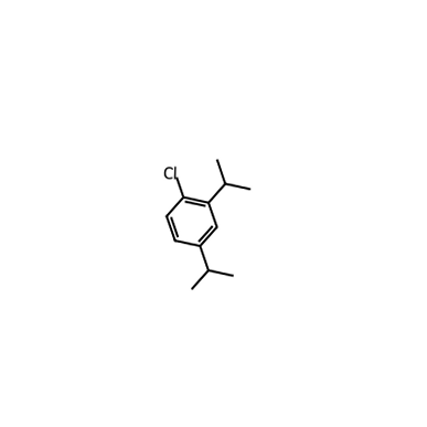 CC(C)c1ccc(Cl)c(C(C)C)c1